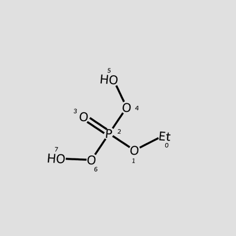 CCOP(=O)(OO)OO